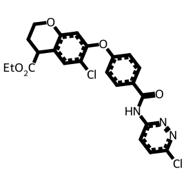 CCOC(=O)C1CCOc2cc(Oc3ccc(C(=O)Nc4ccc(Cl)nn4)cc3)c(Cl)cc21